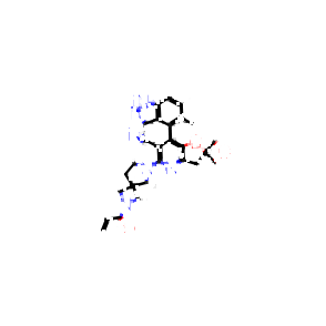 C=CC(=O)N1CC2(CCN(c3nc4c(c(-c5c(C)ccc6[nH]ncc56)c3C#N)OC3(COC3)C4)C2)C1